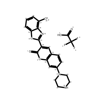 O=C(O)C(F)(F)F.O=c1oc2cc(N3CCNCC3)ccc2cc1-c1nc2c(C(F)(F)F)cccc2o1